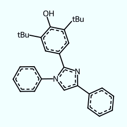 CC(C)(C)c1cc(-c2nc(-c3ccccc3)cn2-c2ccccc2)cc(C(C)(C)C)c1O